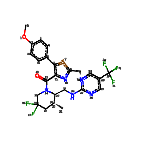 COc1ccc(-c2sc(C)nc2C(=O)N2CC(F)(F)C[C@@H](C)C2CNc2ncc(C(F)(F)F)cn2)cc1